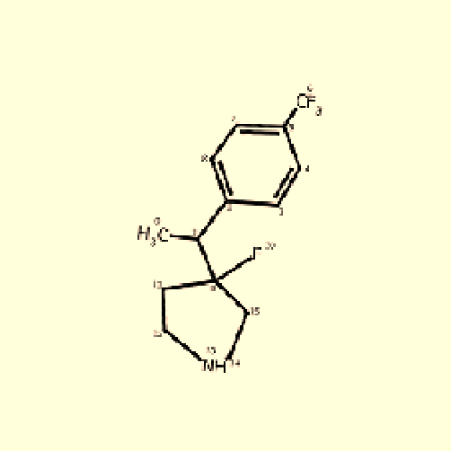 CC(c1ccc(C(F)(F)F)cc1)C1(F)CCNCC1